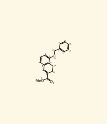 COC(=O)C1=Cc2cccc(OCc3ccccc3)c2CC1